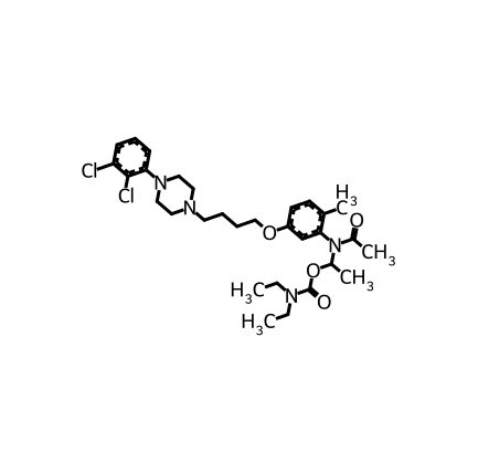 CCN(CC)C(=O)OC(C)N(C(C)=O)c1cc(OCCCCN2CCN(c3cccc(Cl)c3Cl)CC2)ccc1C